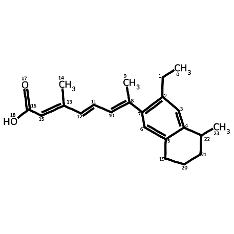 CCc1cc2c(cc1/C(C)=C/C=C/C(C)=C/C(=O)O)CCCC2C